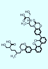 C[C@@H](CC[C@@H](CO)C(=O)O)CN1CCOc2cc(-c3cccc(-c4cccc(-c5ccc6c(c5)OCC(=O)N6C[C@@H](C)N[C@@H](CO)C(=O)O)c4Cl)c3Cl)ccc21